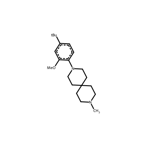 COc1cc(C(C)(C)C)ccc1N1CCC2(CCN(C)CC2)CC1